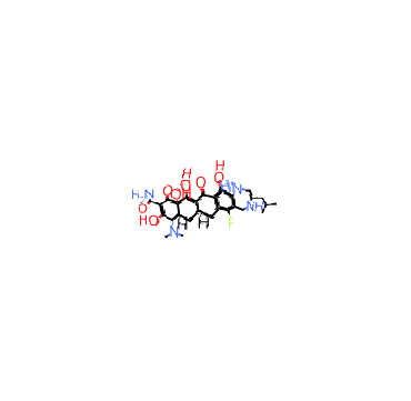 CC(C)C[C@@H]1CNc2c(O)c3c(c(F)c2CN1)C[C@H]1C[C@H]2[C@H](N(C)C)C(O)=C(C(N)=O)C(=O)[C@@]2(O)C(O)=C1C3=O